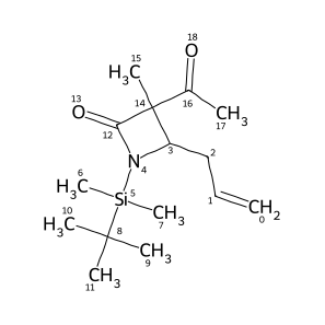 C=CCC1N([Si](C)(C)C(C)(C)C)C(=O)C1(C)C(C)=O